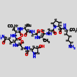 CCC(C)C(NC(=O)[C@H](CC(=O)O)NC(=O)[C@H](CCC(N)=O)NC(=O)CNC(=O)[C@@H]1C[C@@H](O)CN1)C(=O)NCC(=O)N[C@@H](C)C(=O)NCC(=O)N1CCC[C@H]1C(=O)N[C@@H](CCCCN)C(=O)O